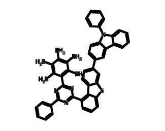 Bc1c(B)c(B)c(-c2nc(-c3ccccc3)nc(-c3cccc4sc5cc(-c6ccc7c(c6)c6ccccc6n7-c6ccccc6)ccc5c34)n2)c(B)c1B